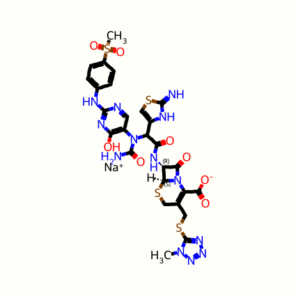 Cn1nnnc1SCC1=C(C(=O)[O-])N2C(=O)[C@@H](NC(=O)C(c3csc(=N)[nH]3)N(C(N)=O)c3cnc(Nc4ccc(S(C)(=O)=O)cc4)nc3O)[C@@H]2SC1.[Na+]